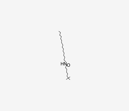 CCCCCCCCCCCCCCCCNC(=O)CCCCCC(C)(C)C